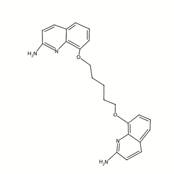 Nc1ccc2cccc(OCCCCCOc3cccc4ccc(N)nc34)c2n1